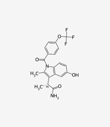 Cc1c([C@@H](C)C(N)=O)c2cc(O)ccc2n1C(=O)c1ccc(OC(F)(F)F)cc1